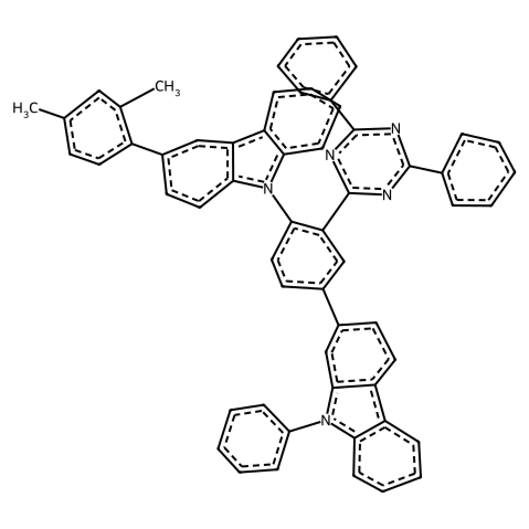 Cc1ccc(-c2ccc3c(c2)c2ccccc2n3-c2ccc(-c3ccc4c5ccccc5n(-c5ccccc5)c4c3)cc2-c2nc(-c3ccccc3)nc(-c3ccccc3)n2)c(C)c1